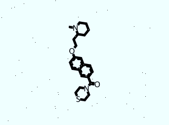 CN1CCCCC1CCOc1ccc2cc(C(=O)N3CCSCC3)ccc2c1